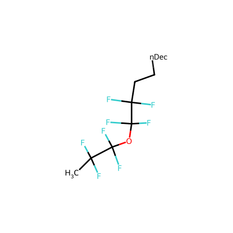 CCCCCCCCCCCCC(F)(F)C(F)(F)OC(F)(F)C(C)(F)F